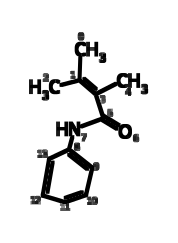 CC(C)=C(C)C(=O)Nc1ccccc1